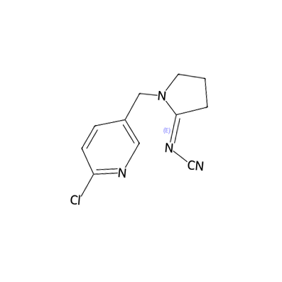 N#C/N=C1\CCCN1Cc1ccc(Cl)nc1